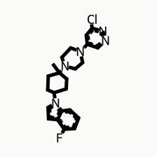 CC1(N2CCN(c3cnnc(Cl)c3)CC2)CCC(n2ccc3c(F)cccc32)CC1